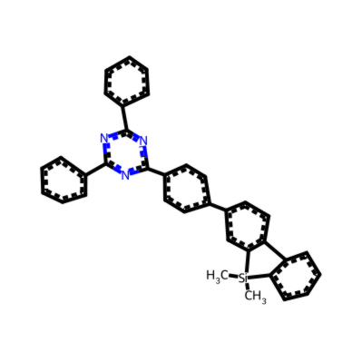 C[Si]1(C)c2ccccc2-c2ccc(-c3ccc(-c4nc(-c5ccccc5)nc(-c5ccccc5)n4)cc3)cc21